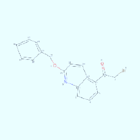 O=C(CBr)c1cccc2nc(OCc3ccccc3)ccc12